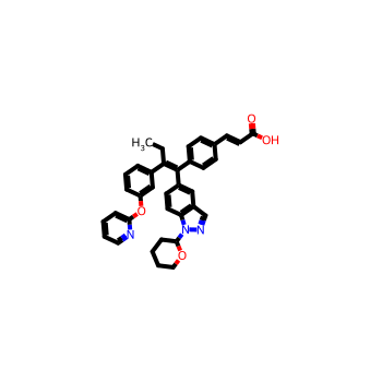 CCC(=C(c1ccc(C=CC(=O)O)cc1)c1ccc2c(cnn2C2CCCCO2)c1)c1cccc(Oc2ccccn2)c1